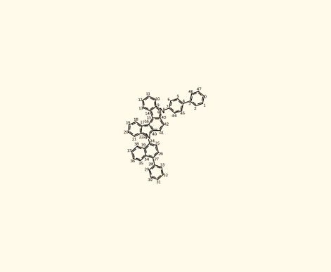 c1ccc(-c2ccc(-n3c4ccccc4c4c5c6ccccc6n(-c6ccc(-c7ccccc7)c7ccccc67)c5ccc43)cc2)cc1